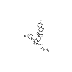 Cl.N[C@H]1CC[C@H](C(=O)N2CCN(S(=O)(=O)c3ccc4cc(Cl)ccc4c3)CC2C(=O)N2CCSCC2)CC1